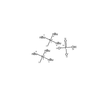 CCCC[N+](C)(CCCC)CCCC.CCCC[N+](C)(CCCC)CCCC.O=P([O-])([O-])O